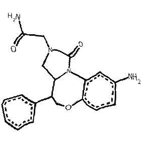 NC(=O)CN1CC2C(c3ccccc3)Oc3ccc(N)cc3N2C1=O